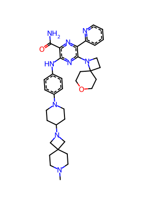 CN1CCC2(CC1)CN(C1CCN(c3ccc(Nc4nc(N5CCC56CCOCC6)c(-c5ccccn5)nc4C(N)=O)cc3)CC1)C2